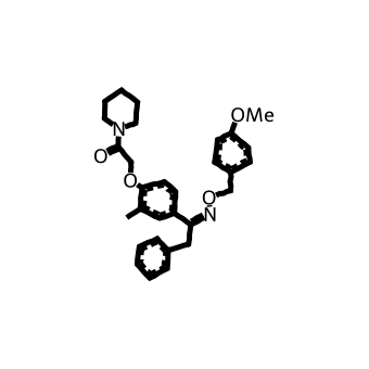 COc1ccc(CON=C(Cc2ccccc2)c2ccc(OCC(=O)N3CCCCC3)c(C)c2)cc1